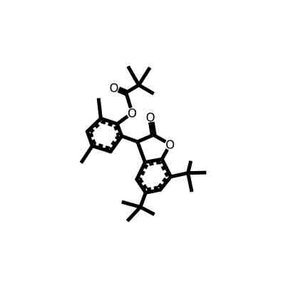 Cc1cc(C)c(OC(=O)C(C)(C)C)c(C2C(=O)Oc3c2cc(C(C)(C)C)cc3C(C)(C)C)c1